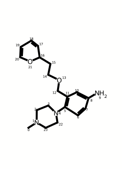 CN1CCN(c2ccc(N)cc2COCCC2C=CC=CO2)CC1